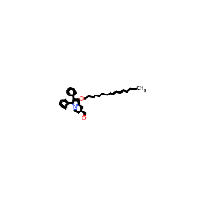 CCCCCCCCCCCCCCCCOc1c(-c2ccccc2)c(-c2ccccc2)n2ccc(C=O)cc12